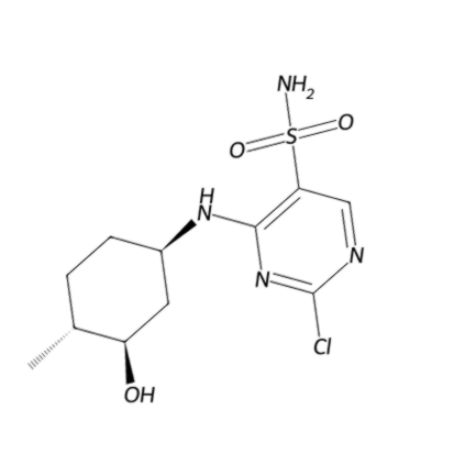 C[C@@H]1CC[C@@H](Nc2nc(Cl)ncc2S(N)(=O)=O)C[C@H]1O